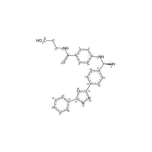 CC(C)[C@H](Nc1ccc(C(=O)NCCC(=O)O)cc1)c1ccc(-c2nnc(-c3ccccc3)o2)cc1